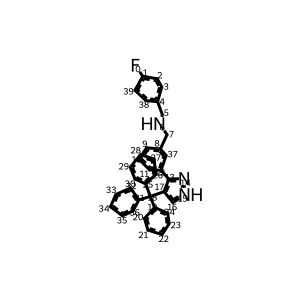 Fc1ccc(CNCc2cccc(-c3n[nH]cc3C(c3ccccc3)(c3ccccc3)c3ccccc3)c2)cc1